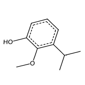 COc1c(O)cccc1[C](C)C